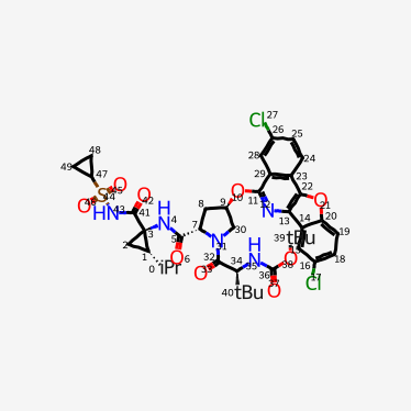 CC(C)[C@@H]1C[C@]1(NC(=O)[C@@H]1C[C@@H](Oc2nc3c4cc(Cl)ccc4oc3c3ccc(Cl)cc23)CN1C(=O)[C@@H](NC(=O)OC(C)(C)C)C(C)(C)C)C(=O)NS(=O)(=O)C1CC1